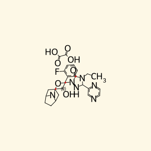 CCN1C(=O)N(C[C@H](O)CN2C3CCC2CC(OCc2ccccc2F)C3)NC1c1cnccn1.O=C(O)C(=O)O